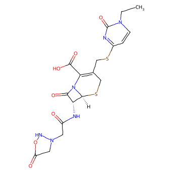 CCn1ccc(SCC2=C(C(=O)O)N3C(=O)[C@@H](NC(=O)CN4CC(=O)ON4)[C@@H]3SC2)nc1=O